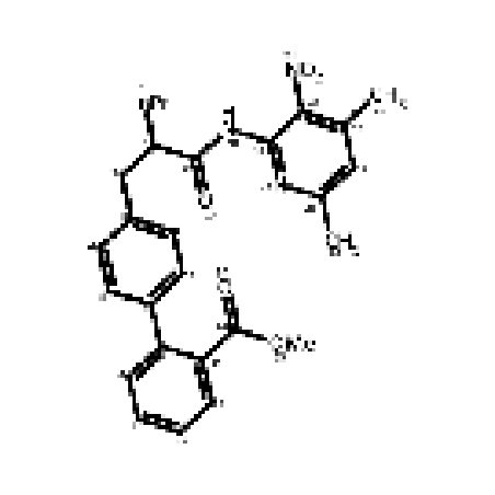 CCCC(Cc1ccc(-c2ccccc2C(=O)OC)cc1)C(=O)Nc1nc(C)cc(C)c1[N+](=O)[O-]